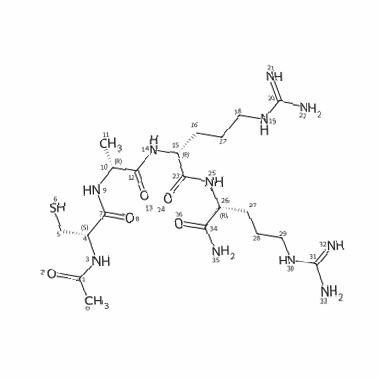 CC(=O)N[C@H](CS)C(=O)N[C@H](C)C(=O)N[C@H](CCCNC(=N)N)C(=O)N[C@H](CCCNC(=N)N)C(N)=O